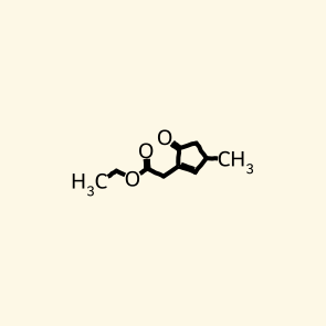 CCOC(=O)CC1=CC(C)CC1=O